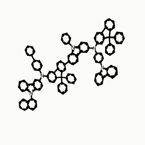 c1ccc(-c2ccc(N(c3ccc4c(c3)-c3ccc(-c5ccc6c7cc(N(c8ccc(-n9c%10ccccc%10c%10ccccc%109)cc8)c8ccc9c(c8)C(c8ccccc8)(c8ccccc8)c8ccccc8-9)ccc7n(-c7ccccc7)c6c5)cc3C4(c3ccccc3)c3ccccc3)c3ccc4c(c3)c3ccccc3n4-c3cccc4ccccc34)cc2)cc1